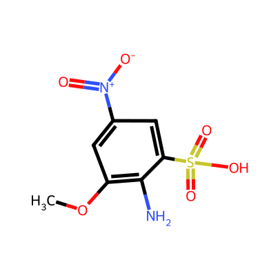 COc1cc([N+](=O)[O-])cc(S(=O)(=O)O)c1N